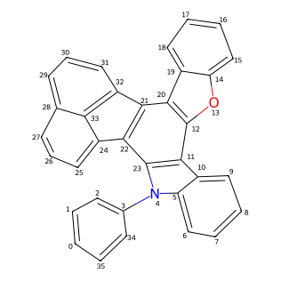 c1ccc(-n2c3ccccc3c3c4oc5ccccc5c4c4c(c32)-c2cccc3cccc-4c23)cc1